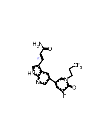 NC(=O)/C=C/c1c[nH]c2ncc(-c3cc(F)c(=O)n(CCC(F)(F)F)c3)cc12